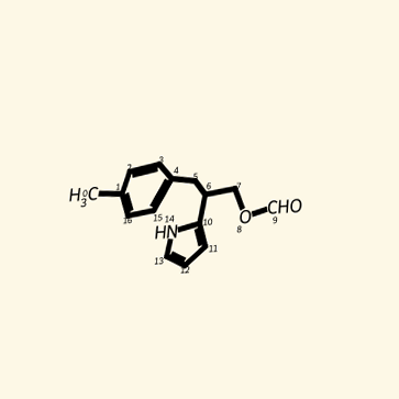 Cc1ccc(CC(COC=O)c2ccc[nH]2)cc1